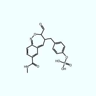 CNC(=O)c1ccc2c(c1)=CC(Cc1ccc(OP(=O)(O)O)cc1)C(C=O)ON=2